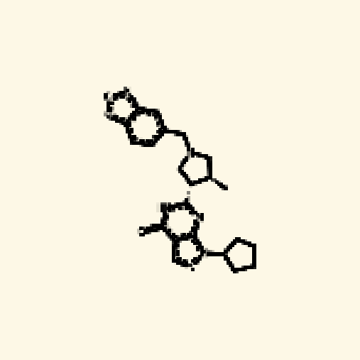 C[C@@H]1CN(Cc2ccc3nonc3c2)C[C@H]1c1nc2c(cnn2C2CCCC2)c(=O)[nH]1